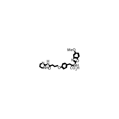 COc1ccc2oc(N[C@@H](Cc3ccc(OCCCC(=O)NC4=NCCCN4)cc3)C(=O)O)nc2c1